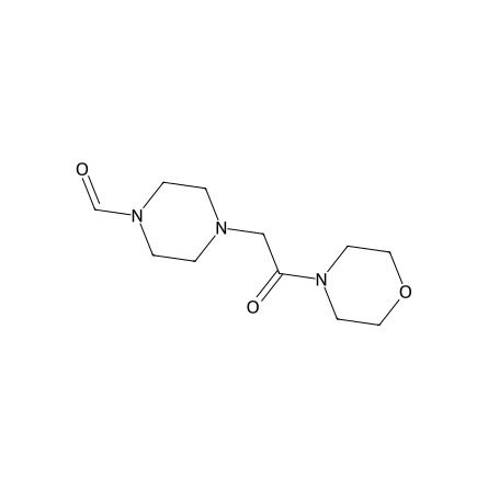 O=CN1CCN(CC(=O)N2CCOCC2)CC1